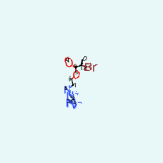 CC(Br)C(=O)OCCN=[N+]=[N-]